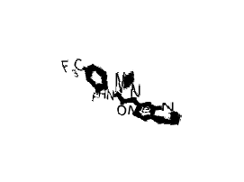 COc1c(Nc2ccc(C(F)(F)F)cc2F)ncnc1-c1ccc2cccnc2c1